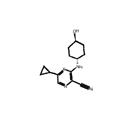 N#Cc1ncc(C2CC2)nc1N[C@H]1CC[C@H](O)CC1